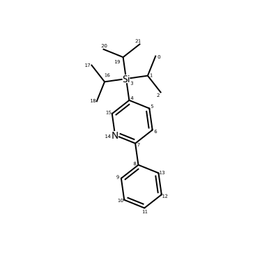 CC(C)[Si](c1ccc(-c2ccccc2)nc1)(C(C)C)C(C)C